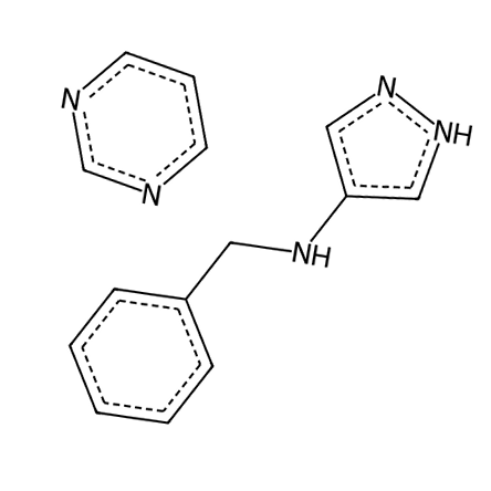 c1ccc(CNc2cn[nH]c2)cc1.c1cncnc1